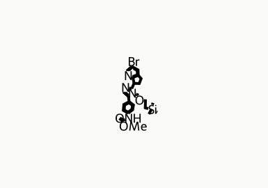 COC(=O)Nc1ccc(-c2cnc(C3CCc4cc(Br)cnc43)n2COCC[Si](C)(C)C)cc1